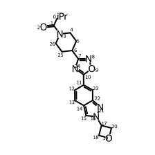 CC(C)C(=O)N1CCC(c2noc(-c3ccc4cn(C5COC5)nc4c3)n2)CC1